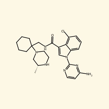 C[C@@H]1CN(C2(CNC(=O)c3cn(-c4nccc(N)n4)c4cccc(Cl)c34)CCCCC2)CCN1